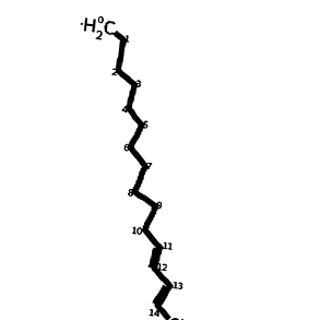 [CH2]CCCCCCCCCCC=CC=CC